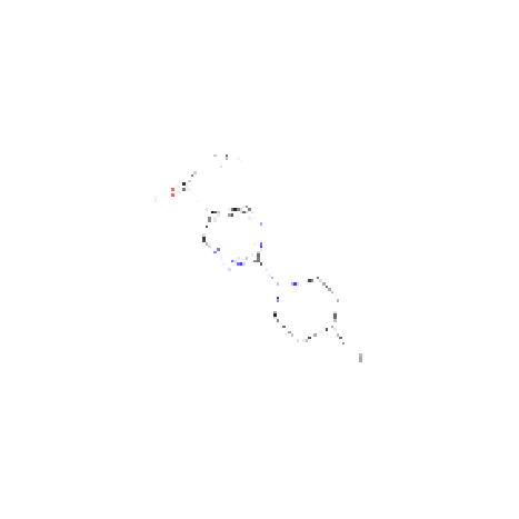 CCC1CCN(c2ncc(C(=O)OC)cn2)CC1